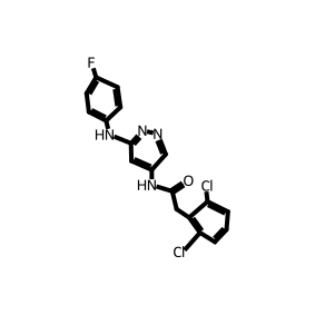 O=C(Cc1c(Cl)cccc1Cl)Nc1cnnc(Nc2ccc(F)cc2)c1